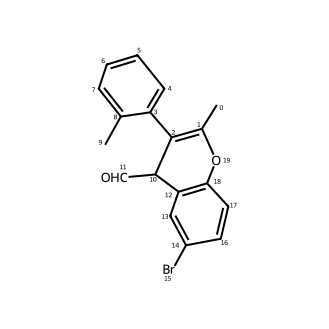 CC1=C(c2ccccc2C)C(C=O)c2cc(Br)ccc2O1